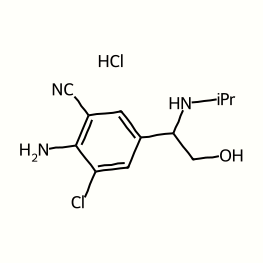 CC(C)NC(CO)c1cc(Cl)c(N)c(C#N)c1.Cl